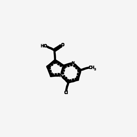 Cc1cc(Cl)n2ccc(C(=O)O)c2n1